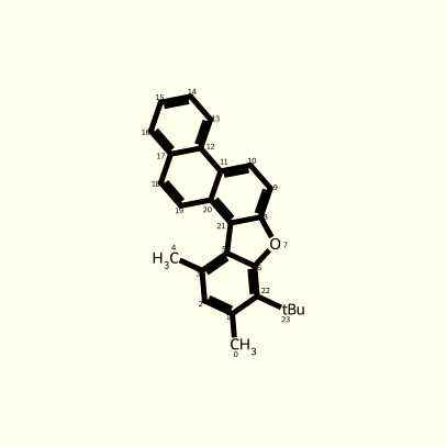 Cc1cc(C)c2c(oc3ccc4c5ccccc5ccc4c32)c1C(C)(C)C